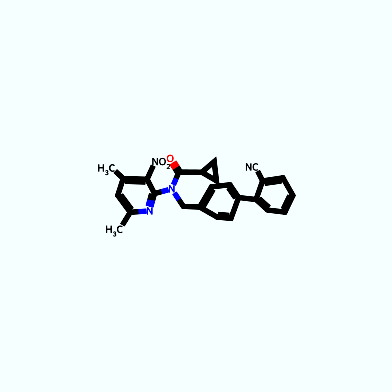 Cc1cc(C)c([N+](=O)[O-])c(N(Cc2ccc(-c3ccccc3C#N)cc2)C(=O)C2CC2)n1